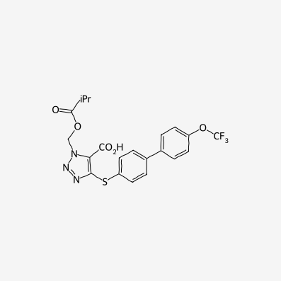 CC(C)C(=O)OCn1nnc(Sc2ccc(-c3ccc(OC(F)(F)F)cc3)cc2)c1C(=O)O